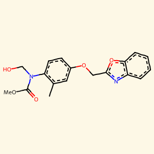 COC(=O)N(CO)c1ccc(OCc2nc3ccccc3o2)cc1C